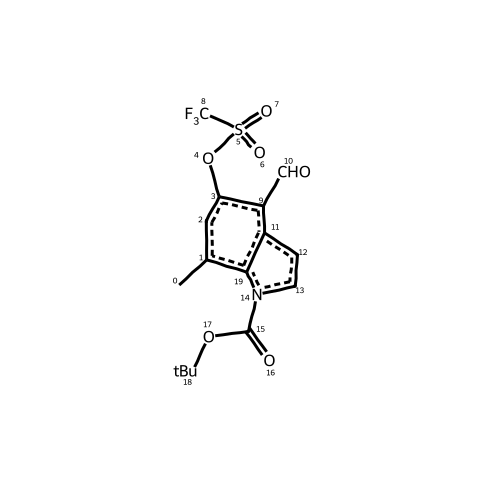 Cc1cc(OS(=O)(=O)C(F)(F)F)c(C=O)c2ccn(C(=O)OC(C)(C)C)c12